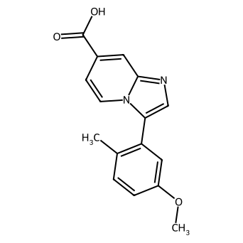 COc1ccc(C)c(-c2cnc3cc(C(=O)O)ccn23)c1